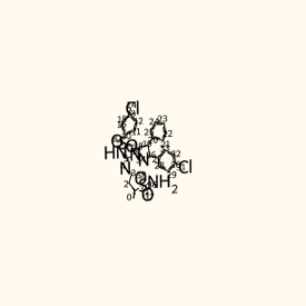 C[C@@H](CC/N=C(/NS(=O)(=O)c1ccc(Cl)cc1)N1C[C@@H](c2ccccc2)C(c2ccc(Cl)cc2)=N1)S(N)(=O)=O